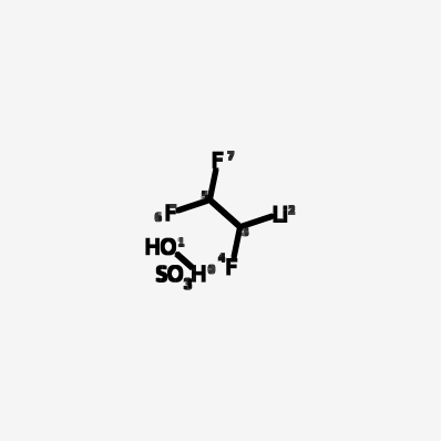 O=S(=O)(O)O.[Li][CH](F)C(F)F